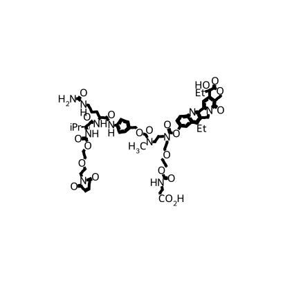 CCc1c2c(nc3ccc(OC(=O)N(CCOCCOC(=O)NCCC(=O)O)CCN(C)C(=O)OCc4ccc(NC(=O)C(CCCNC(N)=O)NC(=O)[C@@H](NC(=O)OCCOCCN5C(=O)C=CC5=O)C(C)C)cc4)cc13)-c1cc3c(c(=O)n1C2)COC(=O)C3(O)CC